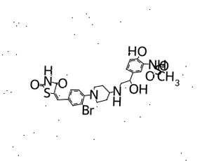 CS(=O)(=O)Nc1cc(C(O)CNC2CCN(c3ccc(C=C4SC(=O)NC4=O)cc3Br)CC2)ccc1O